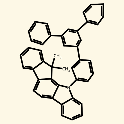 CC1(C)c2ccccc2-c2ccc3c4ccccc4n(-c4cccc(-c5cc(-c6ccccc6)cc(-c6ccccc6)c5)c4)c3c21